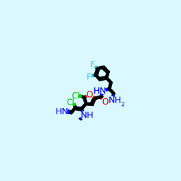 CN/C(=C(/Cl)C=N)C1C=C(C(=O)NC(CN)Cc2ccc(F)c(F)c2)OC1Cl